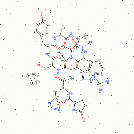 CC(=O)O.CC(=O)O.CCNC(=O)C1CCCN1C(=O)C(CCCN=C(N)N)NC(=O)C(NC(=O)C(NC(=O)C(Cc1ccc(O)cc1)NC(=O)C(CO)NC(=O)C(Cc1c[nH]c2ccccc12)NC(=O)C(Cc1cnc[nH]1)NC(=O)C1CCC(=O)N1)C(C)C)C(C)C